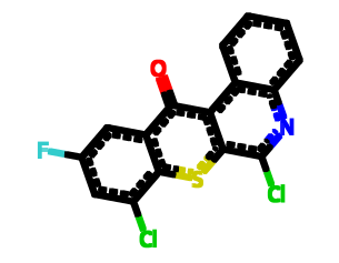 O=c1c2cc(F)cc(Cl)c2sc2c(Cl)nc3ccccc3c12